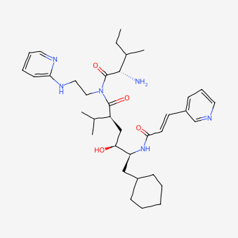 CCC(C)[C@H](N)C(=O)N(CCNc1ccccn1)C(=O)[C@@H](C[C@H](O)[C@H](CC1CCCCC1)NC(=O)/C=C/c1cccnc1)C(C)C